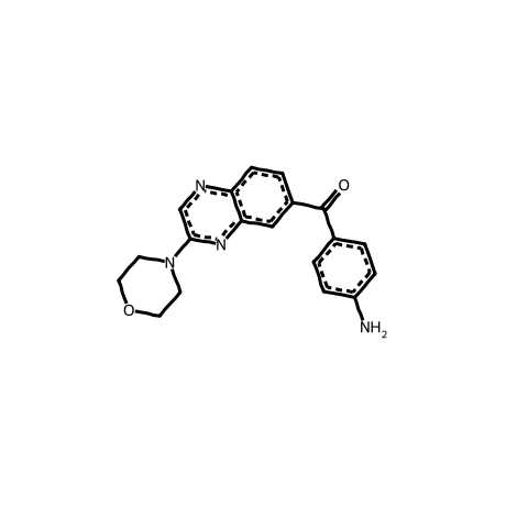 Nc1ccc(C(=O)c2ccc3ncc(N4CCOCC4)nc3c2)cc1